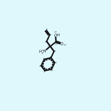 C=CCC(N)(Cc1ccccc1)C(=O)O